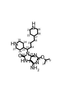 CC(C)Oc1nc(N)c2[nH]c(=O)n(C(CCCC3CCNCC3)C3CCNCC3)c2n1